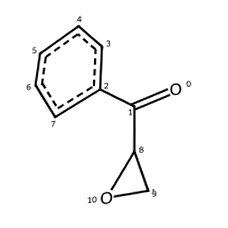 O=C(c1ccccc1)C1[CH]O1